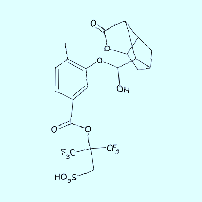 O=C(OC(CS(=O)(=O)O)(C(F)(F)F)C(F)(F)F)c1ccc(I)c(OC(O)C2C3CC4OC(=O)C2C4C3)c1